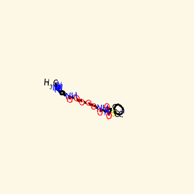 Cc1nnc(-c2ccc(CNC(=O)CCOCCOCCOCCOCCNC(=O)CCN3C(=O)CC(SC4CCC/C=C\CCCCCC4)C3=O)cc2)nn1